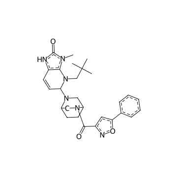 Cn1c2c([nH]c1=O)C=CC(N1CC3CCC1CN3C(=O)c1cc(-c3ccccc3)on1)N2CC(C)(C)C